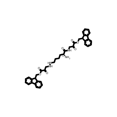 N[C@@H](CCCCNNCC(=O)C(=O)OCC1c2ccccc2-c2ccccc21)C(=O)NCC(=O)C(=O)OCC1c2ccccc2-c2ccccc21